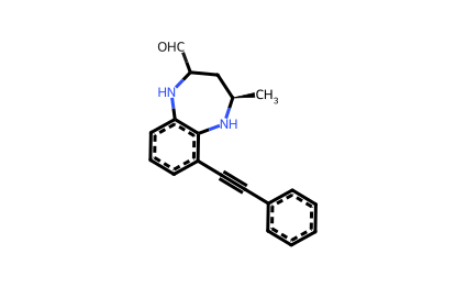 C[C@@H]1CC(C=O)Nc2cccc(C#Cc3ccccc3)c2N1